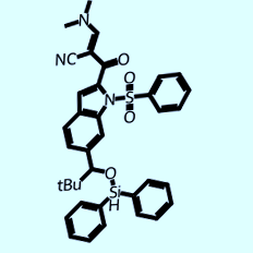 CN(C)/C=C(\C#N)C(=O)c1cc2ccc(C(O[SiH](c3ccccc3)c3ccccc3)C(C)(C)C)cc2n1S(=O)(=O)c1ccccc1